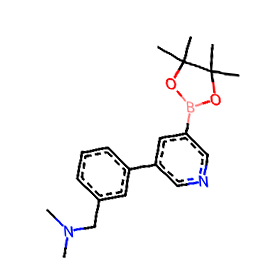 CN(C)Cc1cccc(-c2cncc(B3OC(C)(C)C(C)(C)O3)c2)c1